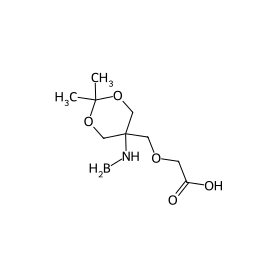 BNC1(COCC(=O)O)COC(C)(C)OC1